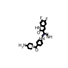 N=N/C(=C\Nc1ccc(C(=O)N2CCC(N)CC2)cc1)c1cc2cc(F)c(F)cc2[nH]c1=O